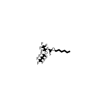 CCCCCCOC(=S)SC(F)(OC(F)(F)C(F)(F)C(F)(F)F)C(F)(F)F